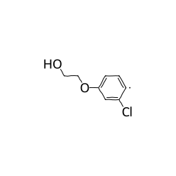 OCCOc1cc[c]c(Cl)c1